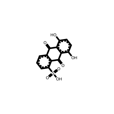 O=C1c2cccc(S(=O)(=O)O)c2C(=O)c2c(O)ccc(O)c21